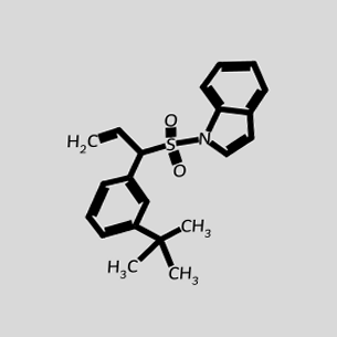 C=CC(c1cccc(C(C)(C)C)c1)S(=O)(=O)n1ccc2ccccc21